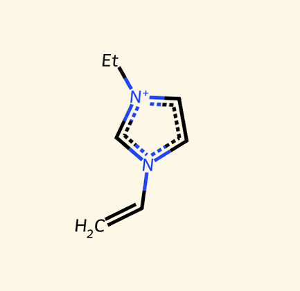 C=Cn1cc[n+](CC)c1